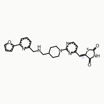 O=C1NC(=O)/C(=C/c2ccnc(N3CCC(CNCc4cccc(-c5ccco5)n4)CC3)n2)S1